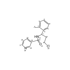 [CH2]c1ccccc1C([CH]CCl)NC(=O)c1cccnc1